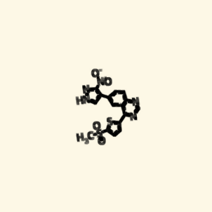 CS(=O)(=O)c1ccc(-c2ncnc3ccc(-c4c[nH]nc4[N+](=O)[O-])cc23)s1